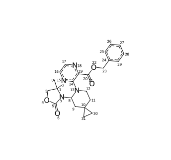 CC1(C)COC(=O)N1C1CC2(CCN1c1nccnc1C(=O)OCc1ccccc1)CC2